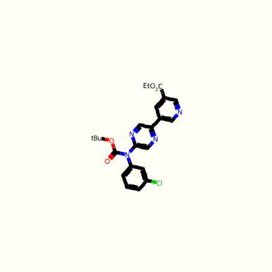 CCOC(=O)c1cncc(-c2cnc(N(C(=O)OC(C)(C)C)c3cccc(Cl)c3)cn2)c1